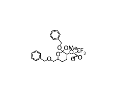 COC1(OCc2ccccc2)OC(COCc2ccccc2)CCC1OS(=O)(=O)C(F)(F)F